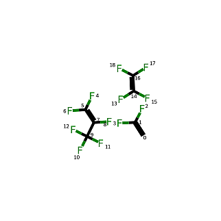 C=C(F)F.FC(F)=C(F)C(F)(F)F.FC(F)=C(F)F